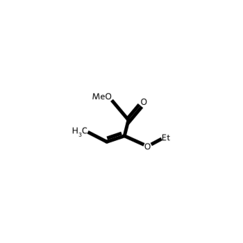 CC=C(OCC)C(=O)OC